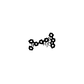 CC1(C)c2ccccc2-c2ccc3c4ccccc4n(-c4ccc(-c5ccc(-c6ccc7c(c6)c6ccccc6n7-c6ccccc6)cc5)cc4)c3c21